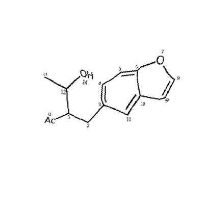 CC(=O)C(Cc1ccc2occc2c1)C(C)O